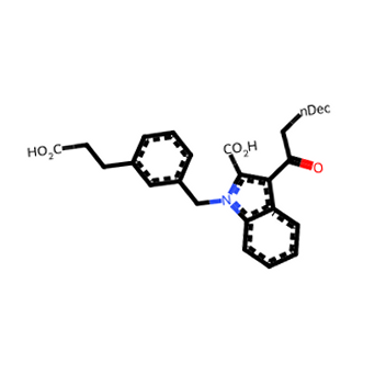 CCCCCCCCCCCC(=O)c1c(C(=O)O)n(Cc2cccc(CCC(=O)O)c2)c2ccccc12